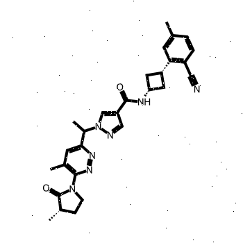 Cc1ccc(C#N)c([C@H]2C[C@@H](NC(=O)c3cnn(C(C)c4cc(C)c(N5CC[C@H](C)C5=O)nn4)c3)C2)c1